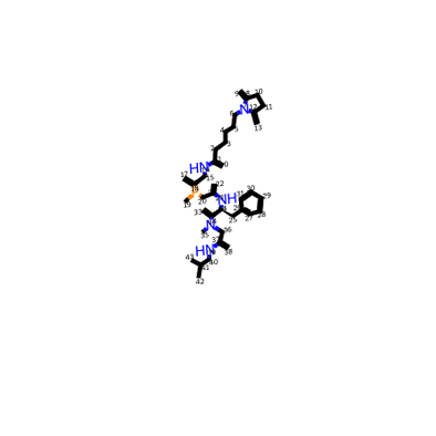 C=C(CCCCCN1C(=C)CCC1=C)NCC(=C)P(C)CC(=C)N[C@@H](Cc1ccccc1)C(=C)N(C)CC(=C)NCC(C)C